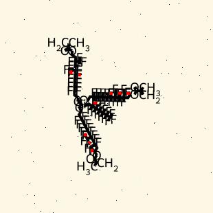 C=C(C)C(=O)OCCC(F)(C(F)(F)F)C(F)(F)C(F)(C(F)(F)F)C(F)(F)C(F)(F)C(F)(F)C(F)(F)C(F)(F)CCO[Si](CCC(F)(F)C(F)(F)C(F)(F)C(F)(F)C(F)(F)C(F)(F)F)(OCCC(F)(F)C(F)(F)C(F)(F)C(F)(F)C(F)(F)C(F)(C(F)(F)F)C(F)(F)C(F)(CCOC(=O)C(=C)C)C(F)(F)F)OCCC(F)(F)C(F)(F)C(F)(F)C(F)(F)C(F)(F)C(F)(C(F)(F)F)C(F)(F)C(F)(CCOC(=O)C(=C)C)C(F)(F)F